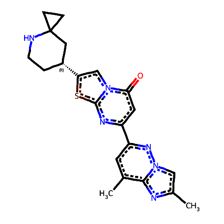 Cc1cn2nc(-c3cc(=O)n4cc([C@@H]5CCNC6(CC6)C5)sc4n3)cc(C)c2n1